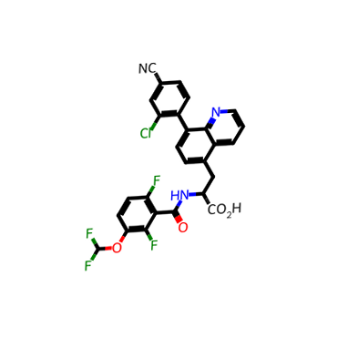 N#Cc1ccc(-c2ccc(CC(NC(=O)c3c(F)ccc(OC(F)F)c3F)C(=O)O)c3cccnc23)c(Cl)c1